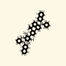 [2H]c1c([2H])c(N(c2ccccc2)c2ccc3ccccc3c2)c([2H])c([2H])c1-c1ccc2c(c1)C1(CC1)c1cccc3c(N(c4ccccc4)c4ccc5ccccc5c4)ccc-2c13